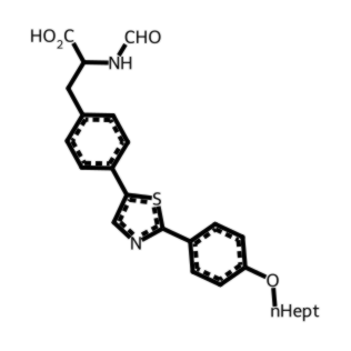 CCCCCCCOc1ccc(-c2ncc(-c3ccc(CC(NC=O)C(=O)O)cc3)s2)cc1